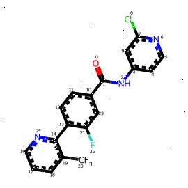 O=C(Nc1ccnc(Cl)c1)c1ccc(-c2ncccc2C(F)(F)F)c(F)c1